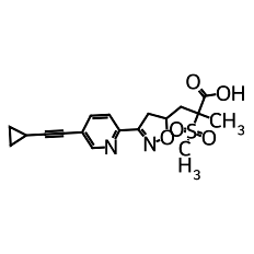 CC(CC1CC(c2ccc(C#CC3CC3)cn2)=NO1)(C(=O)O)S(C)(=O)=O